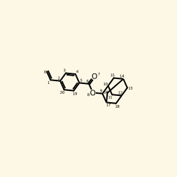 C=Cc1ccc(C(=O)OC2C3CC4CC(C3)CC2C4)cc1